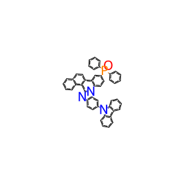 O=P(c1ccccc1)(c1ccccc1)c1ccc2c(c1)c1ccc3ccccc3c1c1nc3ccc(-n4c5ccccc5c5ccccc54)cc3n21